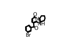 O=C(c1cccc(Br)c1)c1ccc(=O)n2c3c([nH]c12)CCCC3